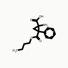 CCCCOC(=O)C1(c2ccccc2)CC1(N)C(=O)O